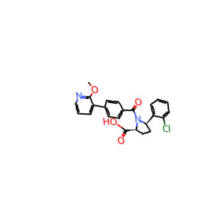 COc1ncccc1-c1ccc(C(=O)N2[C@@H](c3ccccc3Cl)CC[C@H]2C(=O)O)cc1